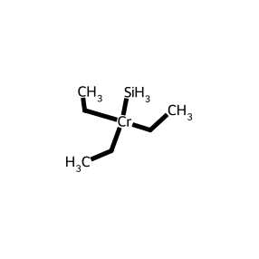 C[CH2][Cr]([SiH3])([CH2]C)[CH2]C